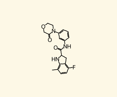 Cc1ccc(F)c2c1NC(C(=O)Nc1cccc(N3CCOCC3=O)c1)C2